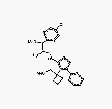 COCC1(n2c(NSC(C)C(OC)c3ncc(Cl)cn3)nnc2-c2ccccn2)CCC1